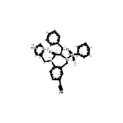 N#Cc1ccc2c(c1)CN(S(=O)(=O)c1ccccc1)C(Cc1ccccc1)C(=O)N2Cc1c[nH]cn1